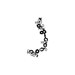 CCn1c(=O)n(C2CCC(=O)NC2=O)c2ccc(N3CCC(C(=O)N4CCC(O)(CN5CCC(C#Cc6ccc([C@@H](C)NC(=O)c7cc(NC(=O)OC(C)(C)C)ccc7C)c7ccccc67)CC5)CC4)CC3)cc21